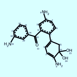 NC1=CC=C(c2ccc(N)cc2C(=O)c2cccc(N)c2)CC1(O)O